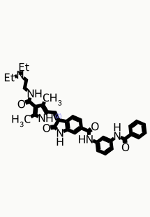 CCN(CC)CCNC(=O)c1c(C)[nH]c(/C=C2\C(=O)Nc3cc(C(=O)Nc4cccc(NC(=O)c5ccccc5)c4)ccc32)c1C